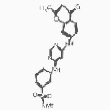 CNS(=O)(=O)c1cccc(Nc2cc(Nc3ccc4c(=O)cc(C)oc4c3)ncn2)c1